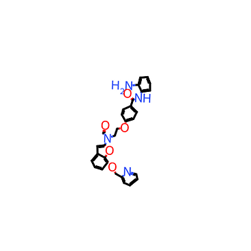 Nc1ccccc1NC(=O)c1ccc(OCCN(C=O)c2cc3cccc(OCc4ccccn4)c3o2)cc1